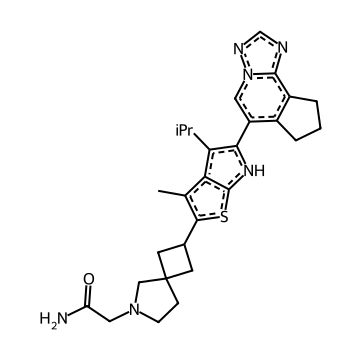 Cc1c(C2CC3(CCN(CC(N)=O)C3)C2)sc2[nH]c(-c3cn4ncnc4c4c3CCC4)c(C(C)C)c12